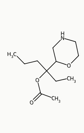 CCCC(CC)(OC(C)=O)C1CNCCO1